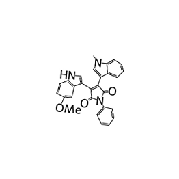 COc1ccc2[nH]cc(C3=C(c4cn(C)c5ccccc45)C(=O)N(c4ccccc4)C3=O)c2c1